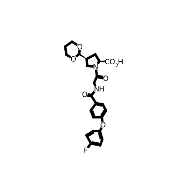 O=C(NCC(=O)N1C[C@@H](C2OCCCO2)C[C@H]1C(=O)O)c1ccc(Oc2ccc(F)cc2)cc1